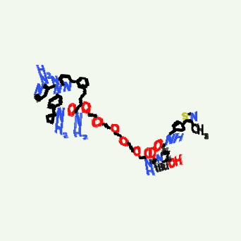 Cc1ncsc1-c1ccc(CNC(=O)[C@@H]2C[C@@H](O)CN2C(=O)[C@@H](NC(=O)COCCOCCOCCOCCOC(CCc2cccc(-c3ccc4nc(-c5cccnc5N)n(-c5ccc(C6(N)CCC6)cc5)c4n3)c2)C(N)=O)C(C)(C)C)cc1